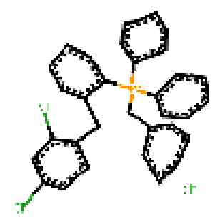 Clc1ccc(Cc2ccccc2[P+](Cc2ccccc2)(c2ccccc2)c2ccccc2)c(Cl)c1.[Cl-]